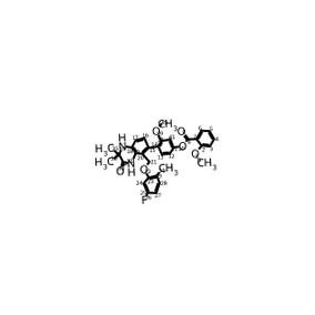 COc1ccccc1C(=O)Oc1ccc(-c2ccc3c(c2COc2cc(F)ccc2C)NC(=O)C(C)(C)N3)c(OC)c1